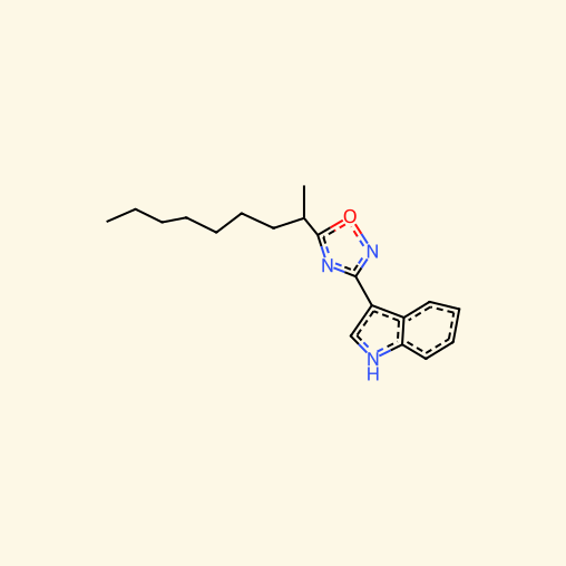 CCCCCCCC(C)c1nc(-c2c[nH]c3ccccc23)no1